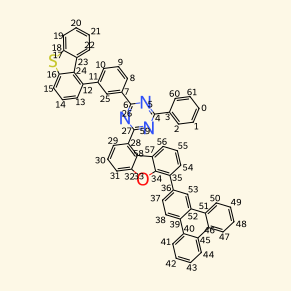 c1ccc(-c2nc(-c3cccc(-c4cccc5sc6ccccc6c45)c3)nc(-c3cccc4oc5c(-c6ccc7c8ccccc8c8ccccc8c7c6)cccc5c34)n2)cc1